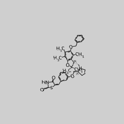 Cc1c(C)c2c(c(C)c1OCc1ccccc1)[C@H](CN1CCC[C@H]1COc1cccc(C=C3SC(=O)NC3=O)c1)C(C)(C)O2